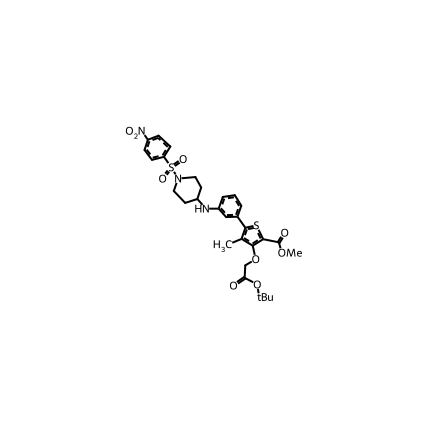 COC(=O)c1sc(-c2cccc(NC3CCN(S(=O)(=O)c4ccc([N+](=O)[O-])cc4)CC3)c2)c(C)c1OCC(=O)OC(C)(C)C